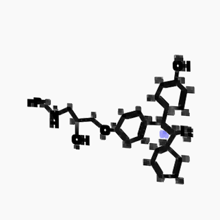 CCCNCC(O)COc1ccc(/C(=C(/CC)c2ccccc2)c2ccc(O)cc2)cc1